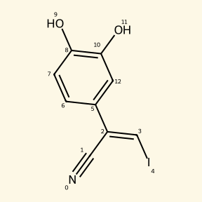 N#CC(=CI)c1ccc(O)c(O)c1